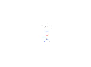 CC/C(=N/N(C=O)CC(=O)Nc1ncccn1)C(/C=C(\C)NC)=C(C)C